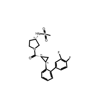 CS(=O)(=O)N[C@H]1CCN(C(=O)[C@@H]2C[C@H]2c2ccccc2-c2ccc(F)c(F)c2)C1